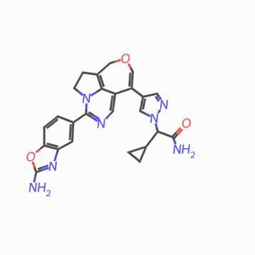 NC(=O)C(C1CC1)n1cc(C2=COCC3=C4C2=CN=C(c2ccc5oc(N)nc5c2)N4CC3)cn1